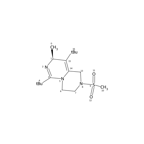 C[C@@H]1N=C(C(C)(C)C)N2CCN(S(C)(=O)=O)CC2=C1C(C)(C)C